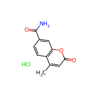 Cc1cc(=O)oc2cc(C(N)=O)ccc12.Cl